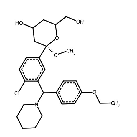 CCOc1ccc(C(c2cc([C@@]3(OC)CC(O)CC(CO)O3)ccc2Cl)N2CCCCC2)cc1